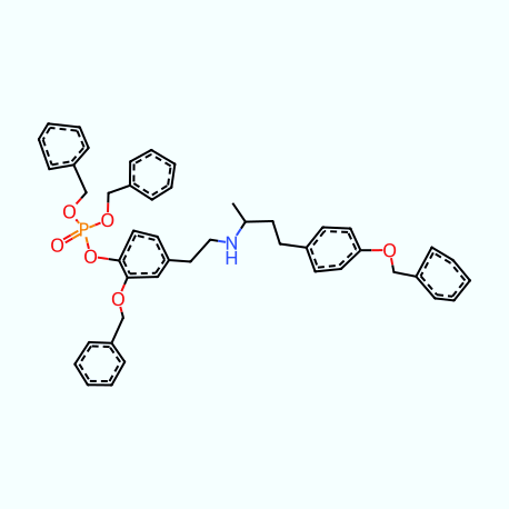 CC(CCc1ccc(OCc2ccccc2)cc1)NCCc1ccc(OP(=O)(OCc2ccccc2)OCc2ccccc2)c(OCc2ccccc2)c1